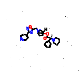 C[C@@](C(=O)O[C@H]1C[N+]2(Cc3nc(-c4ccncc4)no3)CCC1CC2)(c1ccccc1)N1CCCCC1